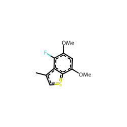 COc1cc(OC)c2scc(C)c2c1F